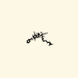 CC(C)=CCC[C@@H](C)CC=C[C@@H](C)C(C(=O)O)C(O)CC1(C)CCc2c(C)c(OCc3ccccc3)c(C)c(C)c2O1